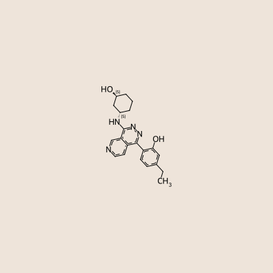 CCc1ccc(-c2nnc(N[C@H]3CCC[C@H](O)C3)c3cnccc23)c(O)c1